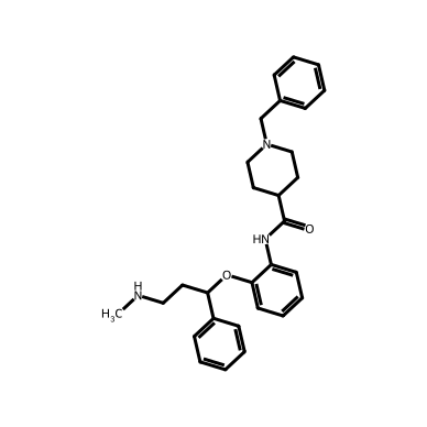 CNCCC(Oc1ccccc1NC(=O)C1CCN(Cc2ccccc2)CC1)c1ccccc1